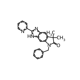 CC1(C)C(=O)N(Cc2ccccc2)c2cc3[nH]c(-c4ccccn4)nc3cc21